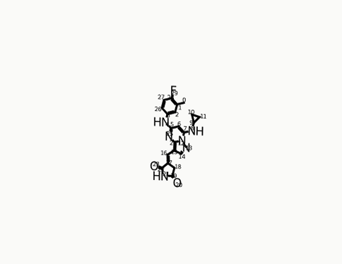 Cc1cc(Nc2cc(NC3CC3)n3ncc(/C=C4\CC(=O)NC4=O)c3n2)ccc1F